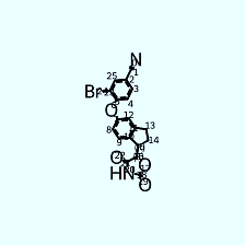 N#Cc1ccc(Oc2ccc3c(c2)CC[C@H]3[C@@H]2OC(=O)NC2=O)c(Br)c1